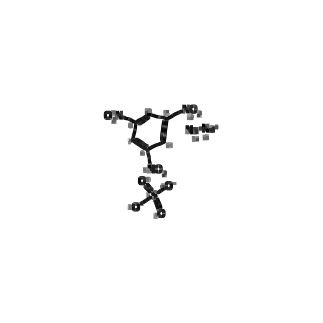 O=S(=O)([O-])[O-].O=[N+]([O-])c1cc([N+](=O)[O-])cc([N+](=O)[O-])c1.[Na+].[Na+]